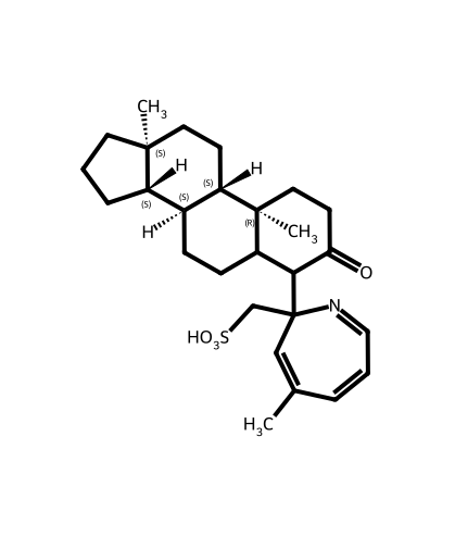 CC1=CC(CS(=O)(=O)O)(C2C(=O)CC[C@@]3(C)C2CC[C@H]2[C@@H]4CCC[C@@]4(C)CC[C@@H]23)N=CC=C1